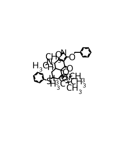 CN(C)[C@@H]1c2onc(OCc3ccccc3)c2C(=O)C2(O[Si](C)(C)C(C)(C)C)C(=O)CC(Sc3ccccc3)C[C@@H]12